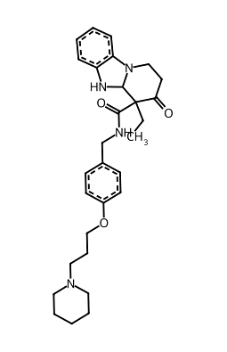 CCC1(C(=O)NCc2ccc(OCCCN3CCCCC3)cc2)C(=O)CCN2c3ccccc3NC21